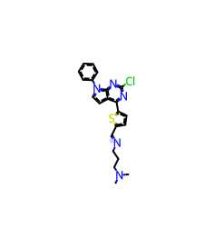 CN(C)CCC/N=C/c1ccc(-c2nc(Cl)nc3c2ccn3-c2ccccc2)s1